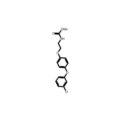 COC(=O)NCCOc1ccc(Oc2cccc(Cl)c2)cc1